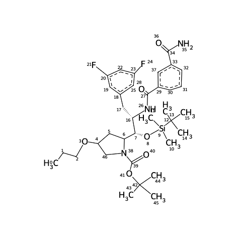 CCCOC1CC([C@@H](O[Si](C)(C)C(C)(C)C)[C@H](Cc2cc(F)cc(F)c2)NC(=O)c2cccc(C(N)=O)c2)N(C(=O)OC(C)(C)C)C1